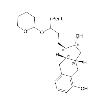 CCCCCC(CC[C@@H]1[C@H]2Cc3cccc(O)c3C[C@H]2C[C@H]1O)OC1CCCCO1